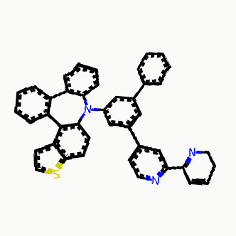 C1=CC(c2cc(-c3cc(-c4ccccc4)cc(N4c5ccccc5-c5ccccc5-c5c4ccc4sccc54)c3)ccn2)=NCC1